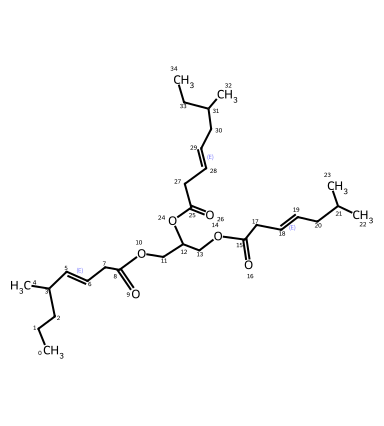 CCCC(C)/C=C/CC(=O)OCC(COC(=O)C/C=C/CC(C)C)OC(=O)C/C=C/CC(C)CC